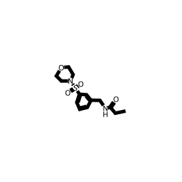 CCC(=O)NCc1cccc(S(=O)(=O)N2CCOCC2)c1